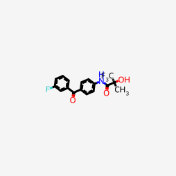 CC(O)(C(=O)Nc1ccc(C(=O)c2cccc(F)c2)cc1)C(F)(F)F